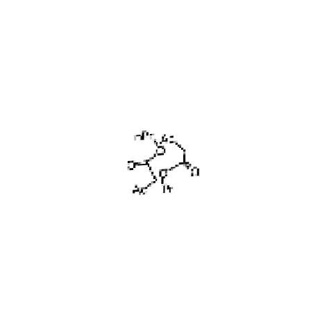 CC(=O)CC(=O)OC(C)C.CCCOC(=O)CC(C)=O